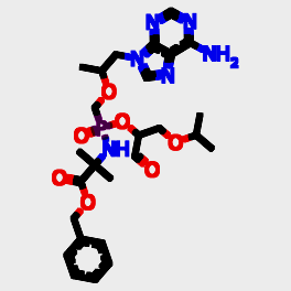 CC(C)OCC(C=O)OP(=O)(COC(C)Cn1cnc2c(N)ncnc21)NC(C)(C)C(=O)OCc1ccccc1